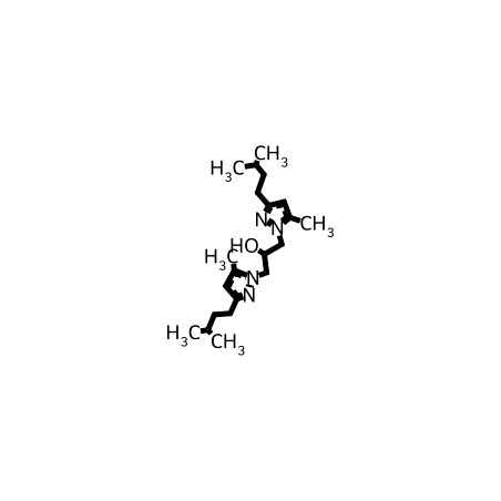 Cc1cc(CCC(C)C)nn1CC(O)Cn1nc(CCC(C)C)cc1C